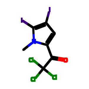 Cn1c(C(=O)C(Cl)(Cl)Cl)cc(I)c1I